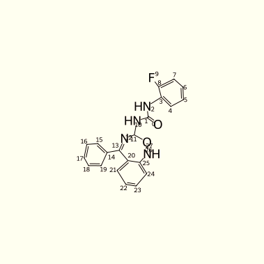 O=C(Nc1ccccc1F)NC1N=C(c2ccccc2)c2ccccc2NO1